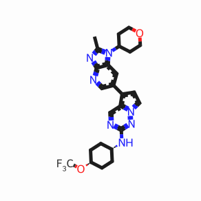 Cc1nc2ncc(-c3ccn4nc(N[C@H]5CC[C@@H](OC(F)(F)F)CC5)ncc34)cc2n1C1CCOCC1